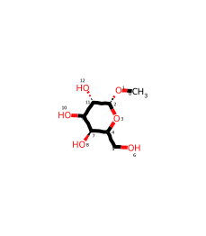 CO[C@@H]1OC(CO)[C@@H](O)C(O)[C@@H]1O